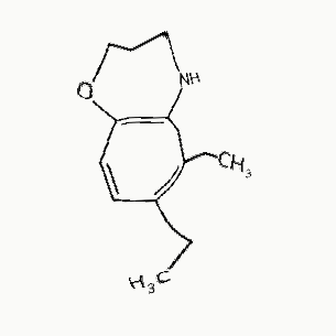 CCc1ccc2c(c1C)NCCO2